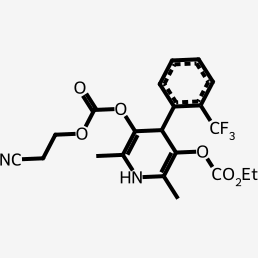 CCOC(=O)OC1=C(C)NC(C)=C(OC(=O)OCCC#N)C1c1ccccc1C(F)(F)F